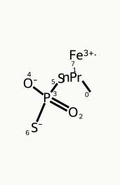 CCCC.O=P([O-])([S-])[S-].[Fe+3]